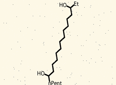 CCCCCC(O)CCCCCCCCCCCC(O)CC